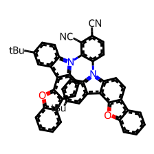 CC(C)(C)c1ccc2c(c1)c1c3oc4ccccc4c3ccc1n2-c1ccc(C#N)c(C#N)c1-n1c2ccc(C(C)(C)C)cc2c2c3oc4ccccc4c3ccc21